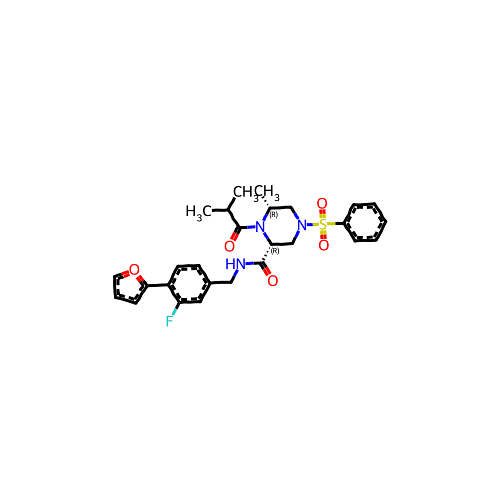 CC(C)C(=O)N1[C@H](C)CN(S(=O)(=O)c2ccccc2)C[C@@H]1C(=O)NCc1ccc(-c2ccco2)c(F)c1